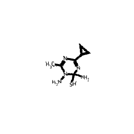 CC1=NC(C2CC2)=NC(N)(S)N1N